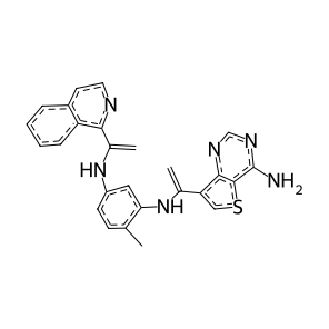 C=C(Nc1ccc(C)c(NC(=C)c2csc3c(N)ncnc23)c1)c1nccc2ccccc12